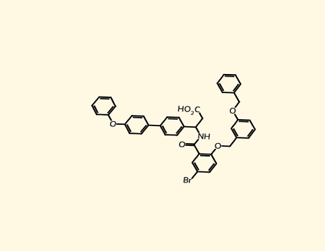 O=C(O)CC(NC(=O)c1cc(Br)ccc1OCc1cccc(OCc2ccccc2)c1)c1ccc(-c2ccc(Oc3ccccc3)cc2)cc1